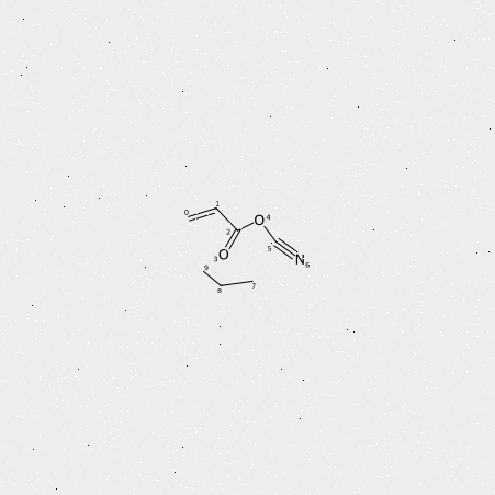 C=CC(=O)OC#N.CCC